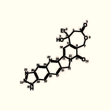 CCC1(O)CC(=O)OCc2c1cc1n(c2=O)Cc2cc3cc4[nH]nnc4cc3nc2-1